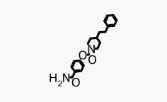 NC(=O)c1ccc(OC(=O)N2CCC(CCc3ccccc3)CC2)cc1